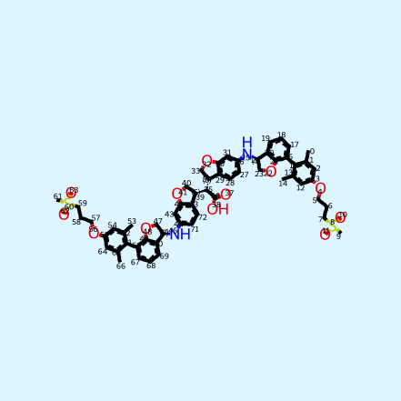 Cc1cc(OCCCS(C)(=O)=O)cc(C)c1-c1cccc2c1OC[C@H]2Nc1ccc2c(c1)OC[C@H]2C(C(=O)O)[C@@H]1COc2cc(N[C@@H]3COc4c(-c5c(C)cc(OCCCS(C)(=O)=O)cc5C)cccc43)ccc21